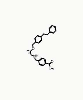 COC(=O)c1ccc(CNC[C@@H](C)OCc2ccc(CCc3ccccc3)cc2)cc1